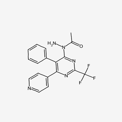 CC(=O)N(N)c1nc(C(F)(F)F)nc(-c2ccncc2)c1-c1ccccc1